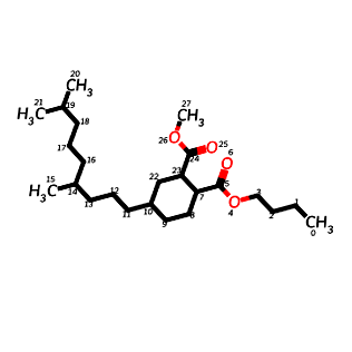 CCCCOC(=O)C1CCC(CCCC(C)CCCC(C)C)CC1C(=O)OC